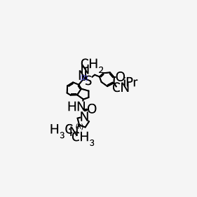 C=N/N=C(\SCC1=CC=C(OC(C)C)C(C#N)=CC1)C1=C2CCC(NC(=O)N3CC[C@@H](N(C)C)C3)C2=CCC=C1